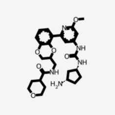 COc1cc(NC(=O)N[C@@H]2CC[C@H](N)C2)cc(-c2cccc3c2OC(CNC(=O)C2CCOCC2)CO3)n1